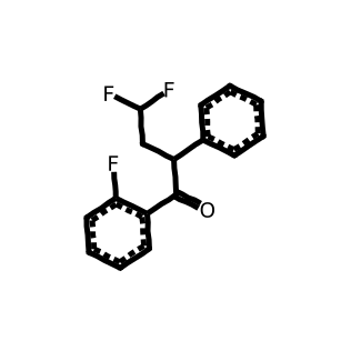 O=C(c1ccccc1F)C(CC(F)F)c1ccccc1